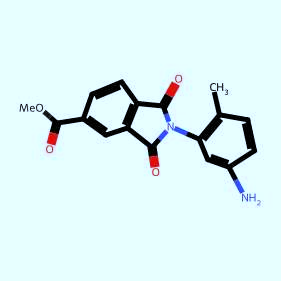 COC(=O)c1ccc2c(c1)C(=O)N(c1cc(N)ccc1C)C2=O